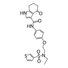 CCN(CCOc1ccc(NC(=O)c2c[nH]c3c2C(=O)CCC3)cc1)S(=O)(=O)c1ccsc1